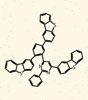 c1ccc(-c2nc(-c3ccc4sc5ccccc5c4c3)cc(-c3cc(-c4ccc5sc6ccccc6c5c4)ccc3-c3ccc4sc5ccccc5c4c3)n2)cc1